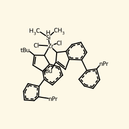 CCCc1ccccc1-c1cccc2c1C=C(C(C)(C)C)[CH]2[Zr]([Cl])([Cl])([CH]1C(C(C)(C)C)=Cc2c(-c3ccccc3CCC)cccc21)[SiH](C)C